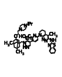 C/C(NCC12CC3(C)CC(C)(C1)CC(OCCN1CCN(C(C)C)CC1)(C3)C2)=C(/C=N)c1ccc(N2CCCc3c2nnc(Nc2nc4ccccc4s2)c3C)nc1C(=O)O